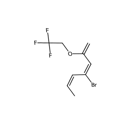 C=C(/C=C(Br)\C=C/C)OCC(F)(F)F